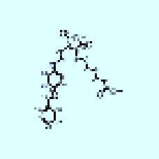 O=C(O)CCCCCCC1C(=O)NC(=O)N1CCCc1ccc(OCc2ccccc2)cc1